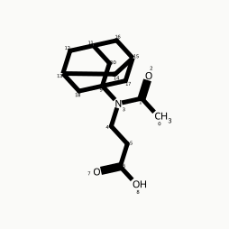 CC(=O)N(CCC(=O)O)C12CC3CC(CC(C3)C1)C2